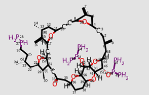 C=C1CCC2CC(=C)C(CCC3C[C@@H](C)C(=C)[C@@H](C[C@@H]4O[C@H](C[C@H](C)CCPP)[C@H](C)C4CC(=O)C[C@H]4CC[C@@H]5O[C@@H]6[C@@H](O[C@H](C1)[C@@H]6OP(P)P)[C@@H](OP(P)P)[C@H]5O4)O3)O2